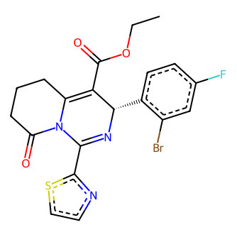 CCOC(=O)C1=C2CCCC(=O)N2C(c2nccs2)=N[C@H]1c1ccc(F)cc1Br